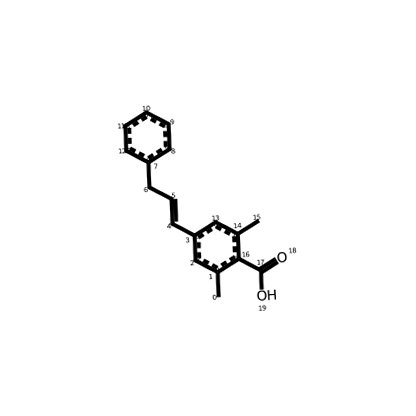 Cc1cc(/C=C/Cc2ccccc2)cc(C)c1C(=O)O